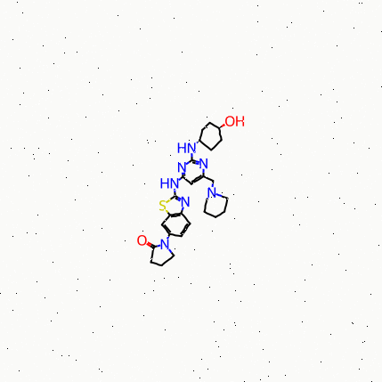 O=C1CCCN1c1ccc2nc(Nc3cc(CN4CCCCC4)nc(N[C@H]4CC[C@H](O)CC4)n3)sc2c1